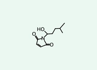 CC(C)CCC(O)N1C(=O)C=CC1=O